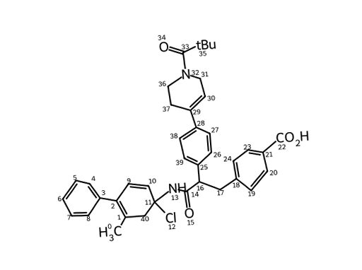 CC1=C(c2ccccc2)C=CC(Cl)(NC(=O)C(Cc2ccc(C(=O)O)cc2)c2ccc(C3=CCN(C(=O)C(C)(C)C)CC3)cc2)C1